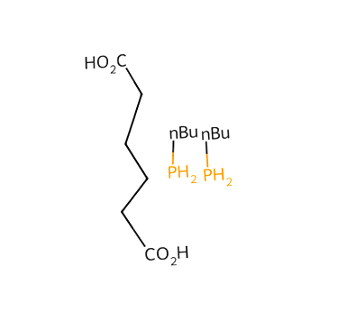 CCCCP.CCCCP.O=C(O)CCCCC(=O)O